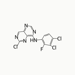 Fc1c(Nc2ncnc3cnc(Cl)nc23)ccc(Cl)c1Cl